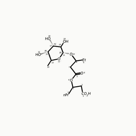 CCCC(CC(=O)O)OC(=O)CC(CC)O[C@@H]1OC(C)[C@H](O)[C@H](O)C1O